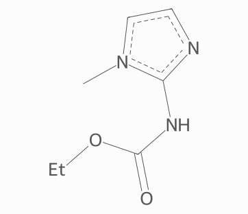 CCOC(=O)Nc1nccn1C